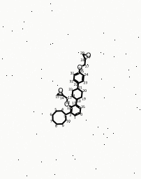 c1cc(C2CCCCCCC2)c(OCC2CO2)c(C2CCC(c3ccc(OCC4CO4)cc3)CC2)c1